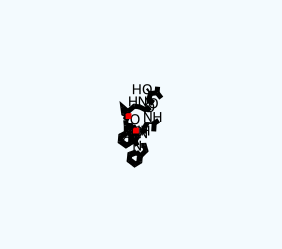 CC(C)[C@H](O)C(=O)N[C@H]1Cc2ccc3c(c2)C2(c4ccccc4NC2O3)c2oc(nc2C(=O)N2CCc3ccccc32)[C@H](C(C)C)NC1=O